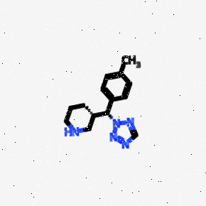 Cc1ccc([C@@H]([C@H]2CCCNC2)n2ncnn2)cc1